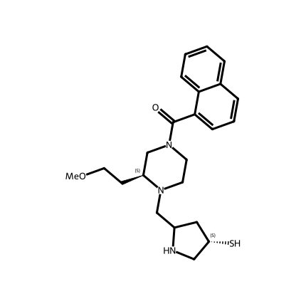 COCC[C@H]1CN(C(=O)c2cccc3ccccc23)CCN1CC1C[C@H](S)CN1